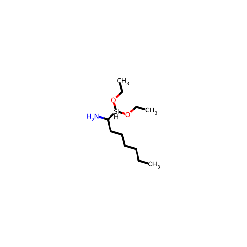 CCCCCCC(N)[SiH](OCC)OCC